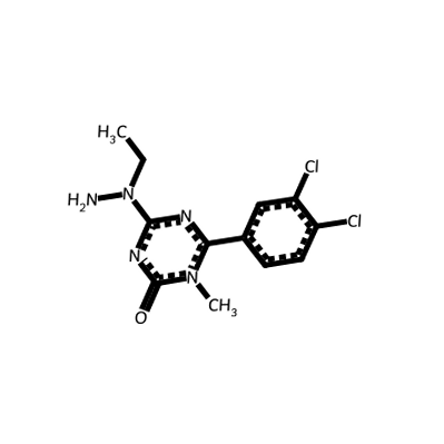 CCN(N)c1nc(-c2ccc(Cl)c(Cl)c2)n(C)c(=O)n1